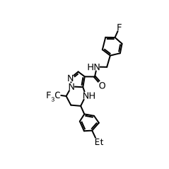 CCc1ccc(C2CC(C(F)(F)F)n3ncc(C(=O)NCc4ccc(F)cc4)c3N2)cc1